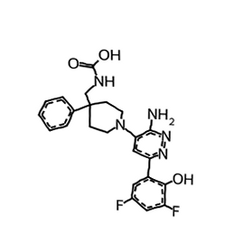 Nc1nnc(-c2cc(F)cc(F)c2O)cc1N1CCC(CNC(=O)O)(c2ccccc2)CC1